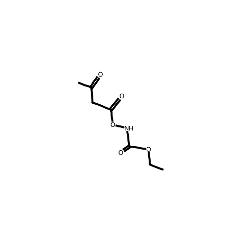 CCOC(=O)NOC(=O)CC(C)=O